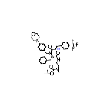 CN(CCN(C)C(=O)[C@H](Cc1ccccc1)N(Cc1ccc(N2CCOCC2)cc1)C(=O)/C=C/c1ccc(C(F)(F)F)cc1)C(=O)OC(C)(C)C